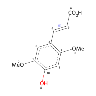 COc1cc(/C=C/C(=O)O)c(OC)cc1O